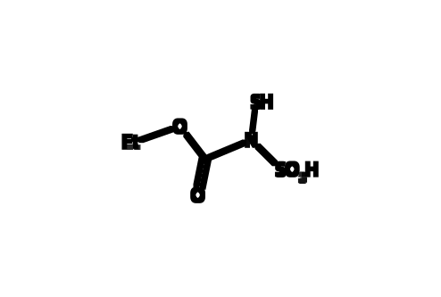 CCOC(=O)N(S)S(=O)(=O)O